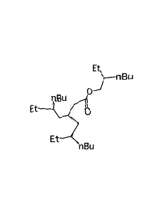 CCCCC(CC)COC(=O)CC(CC(CC)CCCC)CC(CC)CCCC